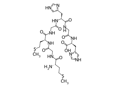 CSCC[C@H](NC(=O)CNC(=O)[C@@H](N)CCSC)C(=O)NCC(=O)N[C@@H](Cc1c[nH]cn1)C(=O)NCC(=O)N[C@@H](Cc1c[nH]cn1)C(=O)O